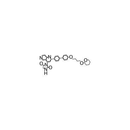 O=C1CNC(=O)N1c1cc(-c2ccc(-c3ccc(OCCCCOC4CCCCO4)cc3)cc2)nc2ccncc12